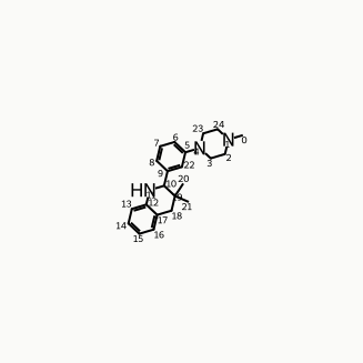 CN1CCN(c2cccc(C3Nc4ccccc4CC3(C)C)c2)CC1